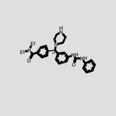 CCN(CC)C(=O)c1ccc([C@H](c2cccc(NC(=O)Nc3ccccc3)c2)N2CCNCC2)cc1